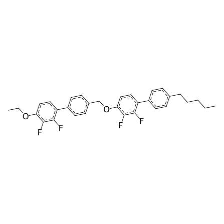 CCCCCc1ccc(-c2ccc(OCc3ccc(-c4ccc(OCC)c(F)c4F)cc3)c(F)c2F)cc1